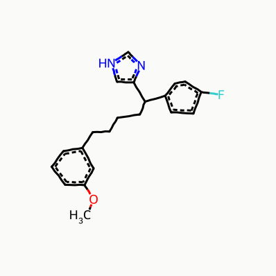 COc1cccc(CCCCC(c2ccc(F)cc2)c2c[nH]cn2)c1